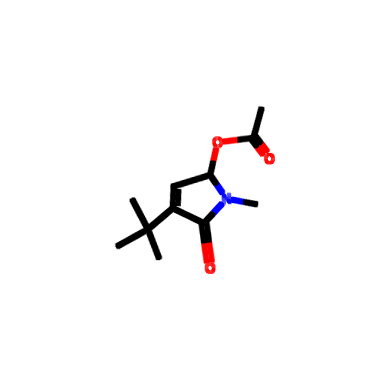 CC(=O)OC1C=C(C(C)(C)C)C(=O)N1C